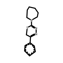 c1ccc(C2=NN=C(N3CCCCCC3)SC2)cc1